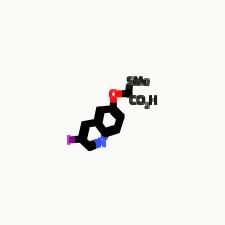 CSC(Oc1ccc2ncc(I)cc2c1)C(=O)O